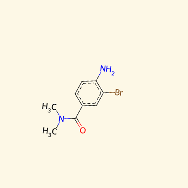 CN(C)C(=O)c1ccc(N)c(Br)c1